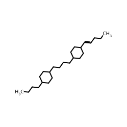 CCCC=CC1CCC(CCCCC2CCC(CCCC)CC2)CC1